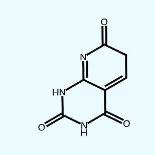 O=C1CC=c2c(=O)[nH]c(=O)[nH]c2=N1